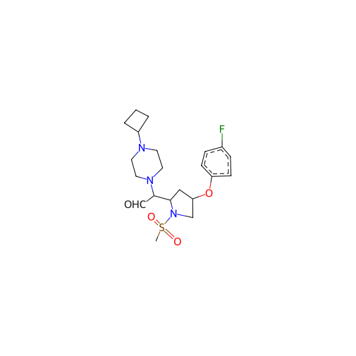 CS(=O)(=O)N1CC(Oc2ccc(F)cc2)CC1C(C=O)N1CCN(C2CCC2)CC1